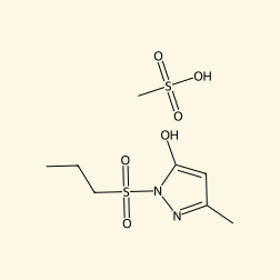 CCCS(=O)(=O)n1nc(C)cc1O.CS(=O)(=O)O